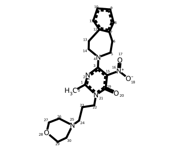 Cc1nc(N2CCc3ccccc3CC2)c([N+](=O)[O-])c(=O)n1CCCN1CCOCC1